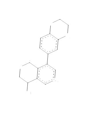 OC1COCc2c(-c3ccc4c(c3)OCCO4)cncc21